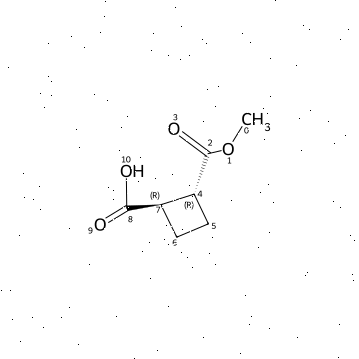 COC(=O)[C@@H]1CC[C@H]1C(=O)O